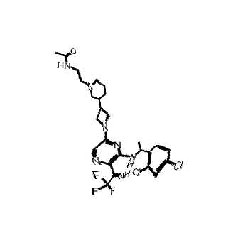 CC(=O)NCCN1CCCC(C2CN(c3cnc(C(=N)C(F)(F)F)c(NC(C)c4ccc(Cl)cc4Cl)n3)C2)C1